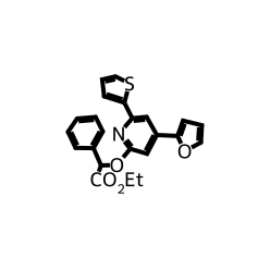 CCOC(=O)C(Oc1cc(-c2ccco2)cc(-c2cccs2)n1)c1ccccc1